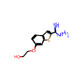 N=C(N)c1cc2ccc(OCCO)cc2s1